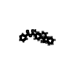 CC(OC(=O)c1ccccc1)c1ccc2[n+](c1)CCc1c-2[nH]c2ccccc12